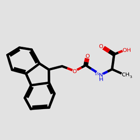 CC([15NH]C(=O)OCC1c2ccccc2-c2ccccc21)C(=O)O